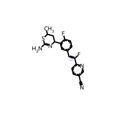 CC1CC(c2cc(/C=C(\F)c3ccc(C#N)cn3)ccc2F)N=C(N)S1